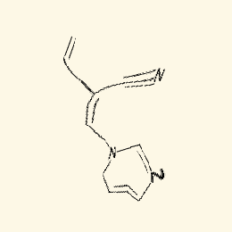 C=CC(C#N)=Cn1ccnc1